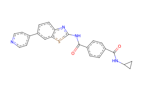 O=C(Nc1nc2ccc(-c3ccncc3)cc2s1)c1ccc(C(=O)NC2CC2)cc1